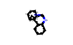 c1ccc2c(c1)nc1c3cccc(c32)CCN1